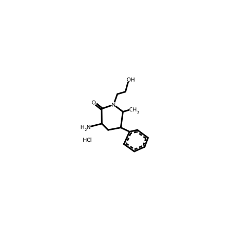 CC1C(c2ccccc2)CC(N)C(=O)N1CCO.Cl